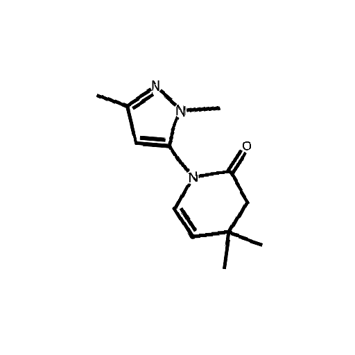 Cc1cc(N2C=CC(C)(C)CC2=O)n(C)n1